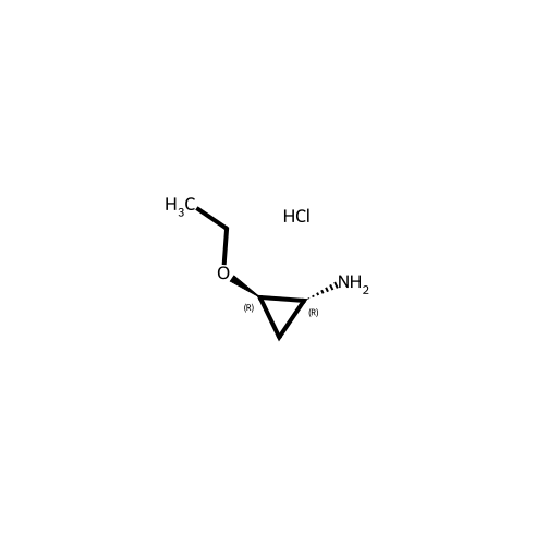 CCO[C@@H]1C[C@H]1N.Cl